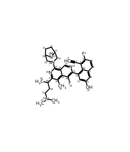 C#Cc1c(F)ccc2cc(O)cc(-c3ncc4c(N5CC6CCC(C5)N6)nc(C(C)CCN(C)C)c(C)c4c3F)c12